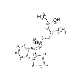 C[C@H](CCO[Si](c1ccccc1)(c1ccccc1)C(C)(C)C)C[C@@H](C)O